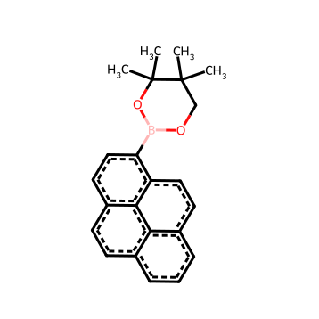 CC1(C)COB(c2ccc3ccc4cccc5ccc2c3c45)OC1(C)C